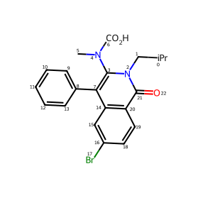 CC(C)Cn1c(N(C)C(=O)O)c(-c2ccccc2)c2cc(Br)ccc2c1=O